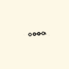 CCCCC[C@H]1CC[C@H](c2ccc(-c3ccc(C4CCC(C)(C(=O)OC)CC4)cc3)cc2)CC1